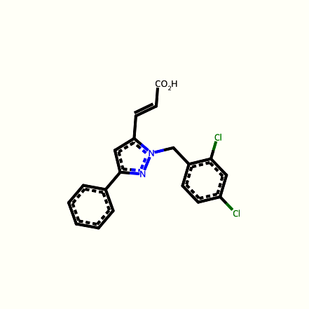 O=C(O)/C=C/c1cc(-c2ccccc2)nn1Cc1ccc(Cl)cc1Cl